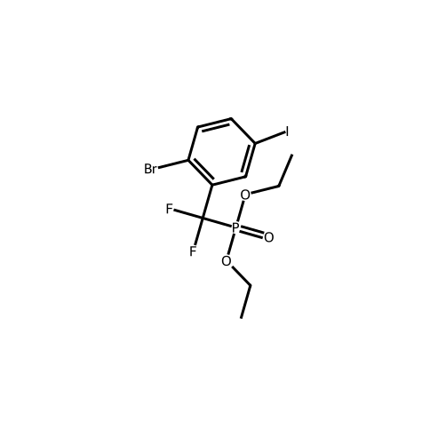 CCOP(=O)(OCC)C(F)(F)c1cc(I)ccc1Br